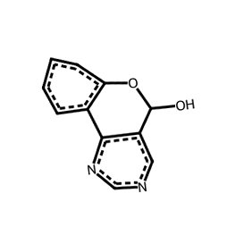 OC1Oc2ccccc2-c2ncncc21